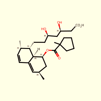 C[C@H]1C=C2C=C[C@H](C)[C@H](CC[C@@H](O)C[C@@H](O)CC(=O)O)[C@H]2[C@@H](OC(=O)C2(C)CCCC2)C1